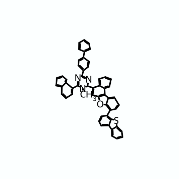 CN1C(c2cccc3ccccc23)=NC(c2ccc(-c3ccccc3)cc2)=NC1c1cc2oc3c(-c4cccc5c4sc4ccccc45)cccc3c2c2ccccc12